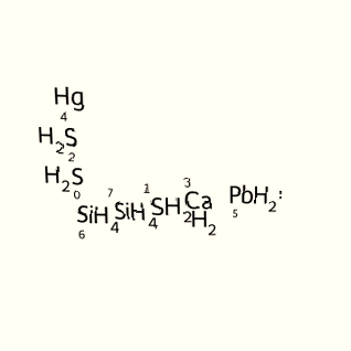 S.S.S.[CaH2].[Hg].[PbH2].[SiH4].[SiH4]